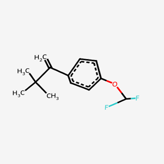 C=C(c1ccc(OC(F)F)cc1)C(C)(C)C